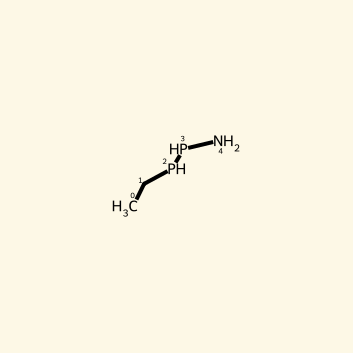 CCPPN